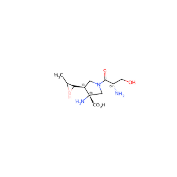 CC1BC1[C@H]1CN(C(=O)[C@@H](N)CO)C[C@@]1(N)C(=O)O